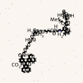 CSSCOC1[C@H](N2CC(/C=C/CNC(=O)OCCCCOCSSC(C)(C)CCOC(=O)NCCOCCOCCNC(=O)c3ccc(C(=O)O)c(C4=c5cc6c7c(c5Oc5c4cc4c8c5CCCN8CCC4)CCC[N+]=7CCC6)c3)c3c(N)ncnc32)CO[C@@H]1COP(=O)(O)O[PH](=O)O